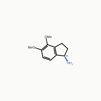 COc1ccc2c(c1OC)CC[C@H]2N